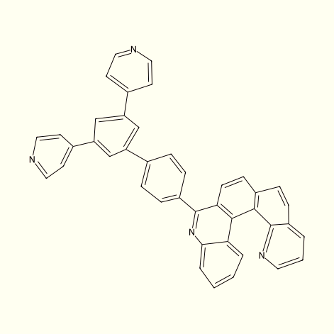 c1cnc2c(c1)ccc1ccc3c(-c4ccc(-c5cc(-c6ccncc6)cc(-c6ccncc6)c5)cc4)nc4ccccc4c3c12